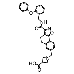 O=C(NCc1ccccc1Oc1ccccc1)c1noc2c1CCc1cc(CN3CC(C(=O)O)C3)ccc1-2